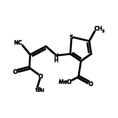 COC(=O)c1cc(C)sc1NC=C(C#N)C(=O)OC(C)(C)C